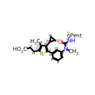 CCCCCNC(=O)N(C)c1cccc(-c2sc(CCC(=O)O)c(C)c2C2CC2)c1